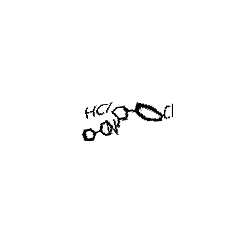 Cl.Clc1ccc(C2=CCCC(CN3CC=C(c4ccccc4)CC3)C2)cc1